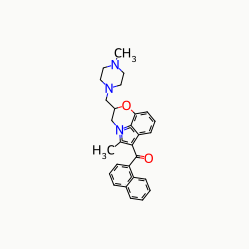 Cc1c(C(=O)c2cccc3ccccc23)c2cccc3c2n1CC(CN1CCN(C)CC1)O3